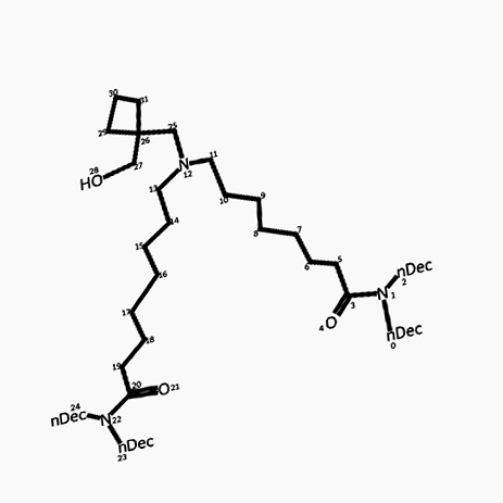 CCCCCCCCCCN(CCCCCCCCCC)C(=O)CCCCCCCN(CCCCCCCC(=O)N(CCCCCCCCCC)CCCCCCCCCC)CC1(CO)CCC1